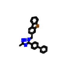 CC(=N)/N=C(\N=C\c1ccc2c(c1)sc1ccccc12)c1ccc(-c2ccccc2)cc1